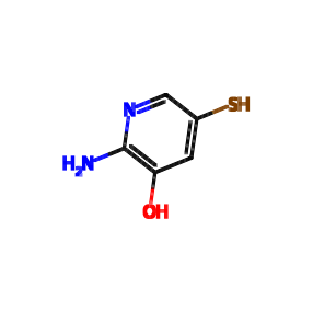 Nc1ncc(S)cc1O